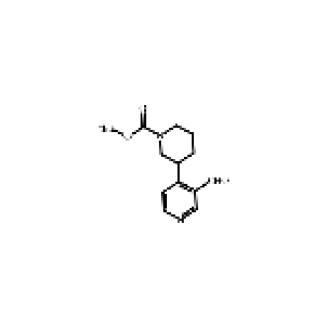 CC(C)(C)OC(=O)N1CCCC(c2ccncc2C=O)C1